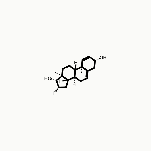 C[C@]12CC[C@H]3[C@@H](CC=C4C[C@@H](O)C=C[C@@]43C)[C@@H]1C[C@@H](F)[C@@H]2O